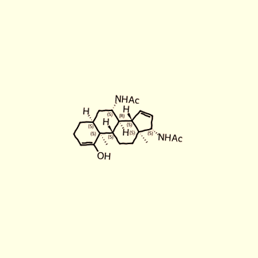 CC(=O)N[C@H]1C[C@@H]2CCC=C(O)[C@]2(C)[C@H]2CC[C@]3(C)[C@@H](NC(C)=O)C=C[C@H]3[C@H]12